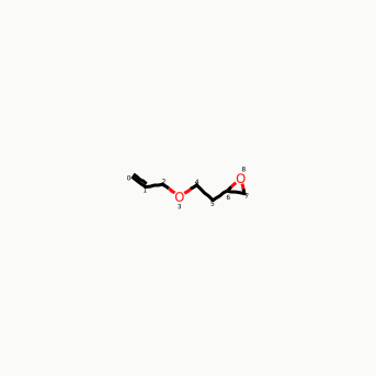 C=CCOCCC1CO1